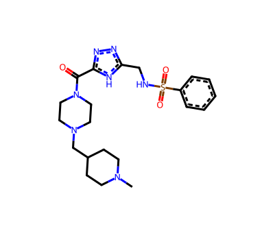 CN1CCC(CN2CCN(C(=O)c3nnc(CNS(=O)(=O)c4ccccc4)[nH]3)CC2)CC1